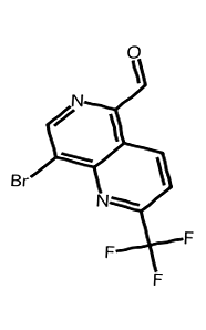 O=Cc1ncc(Br)c2nc(C(F)(F)F)ccc12